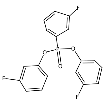 O=P(Oc1cccc(F)c1)(Oc1cccc(F)c1)c1cccc(F)c1